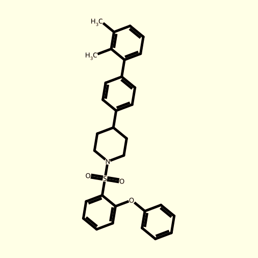 Cc1cccc(-c2ccc(C3CCN(S(=O)(=O)c4ccccc4Oc4ccccc4)CC3)cc2)c1C